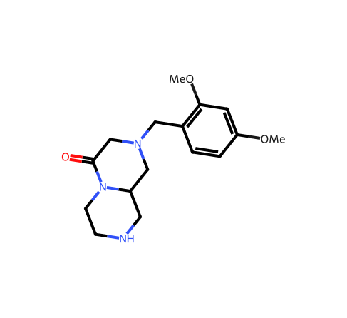 COc1ccc(CN2CC(=O)N3CCNCC3C2)c(OC)c1